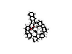 c1ccc2cc3c(cc2c1)c1ccccc1n3-c1ccc2sc3ccccc3c2c1-c1nc(-c2cccc3oc4ccccc4c23)nc(-n2c3ccccc3c3ccccc32)n1